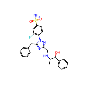 C[C@@H](NCc1nc(Cc2ccccc2)n(-c2ccc(S(N)(=O)=O)cc2F)n1)[C@@H](O)c1ccccc1